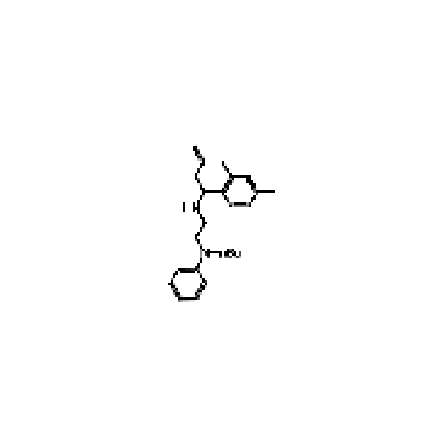 C=CCC(NCCN(CCCC)c1ccccc1)c1ccc(C)cc1C